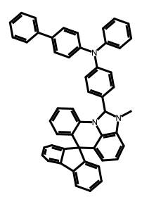 CN1c2cccc3c2N(c2ccccc2C32c3ccccc3-c3ccccc32)C1c1ccc(N(c2ccccc2)c2ccc(-c3ccccc3)cc2)cc1